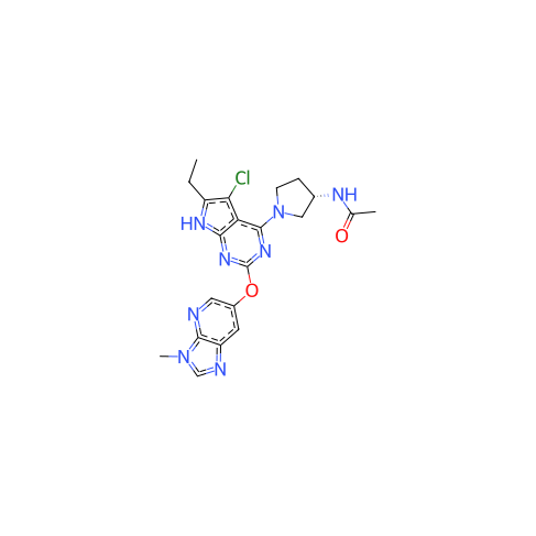 CCc1[nH]c2nc(Oc3cnc4c(c3)ncn4C)nc(N3CC[C@H](NC(C)=O)C3)c2c1Cl